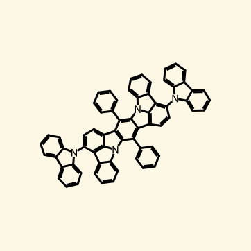 c1ccc(-c2c3c4ccc(-n5c6ccccc6c6ccccc65)c5c6ccccc6n(c3c(-c3ccccc3)c3c6ccc(-n7c8ccccc8c8ccccc87)c7c8ccccc8n(c23)c67)c45)cc1